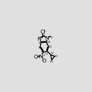 Cn1c(Cl)nc2cc([N+](=O)[O-])c(C3CC3)cc21